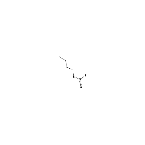 CCCCSS(=S)I